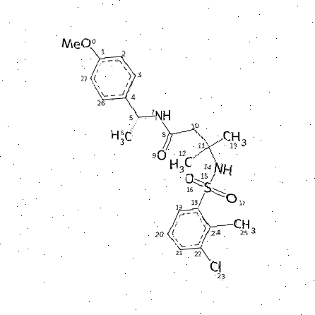 COc1ccc([C@@H](C)NC(=O)CC(C)(C)NS(=O)(=O)c2cccc(Cl)c2C)cc1